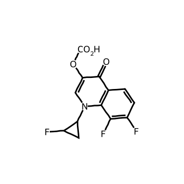 O=C(O)Oc1cn(C2CC2F)c2c(F)c(F)ccc2c1=O